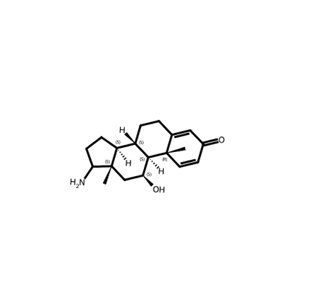 C[C@]12C=CC(=O)C=C1CC[C@@H]1[C@@H]2[C@@H](O)C[C@]2(C)C(N)CC[C@@H]12